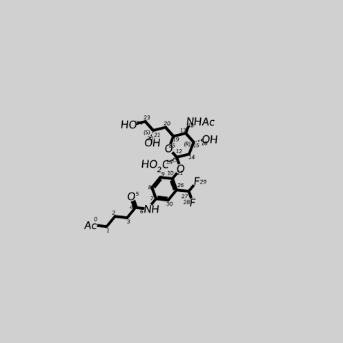 CC(=O)CCCC(=O)Nc1ccc(O[C@]2(C(=O)O)C[C@@H](O)C(NC(C)=O)C(C[C@H](O)CO)O2)c(C(F)F)c1